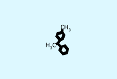 Cc1ccc(C(C)c2ccccc2)cc1